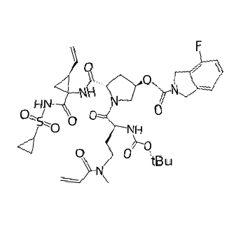 C=CC(=O)N(C)CC[C@H](NC(=O)OC(C)(C)C)C(=O)N1C[C@H](OC(=O)N2Cc3cccc(F)c3C2)C[C@H]1C(=O)NC1(C(=O)NS(=O)(=O)C2CC2)C[C@H]1C=C